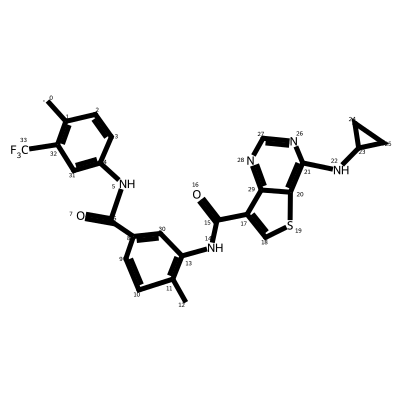 [CH2]c1ccc(NC(=O)c2ccc(C)c(NC(=O)c3csc4c(NC5CC5)ncnc34)c2)cc1C(F)(F)F